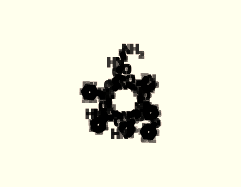 NCCNC(=O)O[C@@H]1C[C@H]2C(=O)N[C@@H](CCc3ccccc3)C(=O)N[C@H](Cc3c[nH]c4ccccc34)C(=O)N[C@@H](CC3CCNCC3)C(=O)N[C@@H](Cc3ccc(Oc4ccccc4)cc3)C(=O)N[C@@H](Cc3cccnc3)C(=O)N2C1